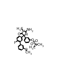 COc1cccc(-c2cc(C3(c4cccc(OS(=O)(=O)N(C)C)c4)N=C(N)N(C)C3=O)ccc2F)c1